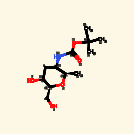 C[C@@H]1O[C@H](CO)[C@@H](O)C[C@H]1NC(=O)OC(C)(C)C